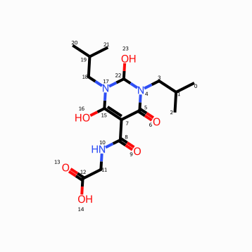 CC(C)CN1C(=O)C(C(=O)NCC(=O)O)=C(O)N(CC(C)C)C1O